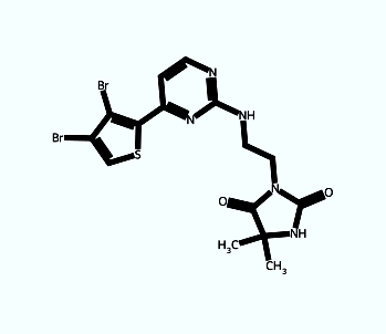 CC1(C)NC(=O)N(CCNc2nccc(-c3scc(Br)c3Br)n2)C1=O